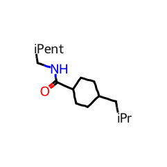 CCCC(C)CNC(=O)C1CCC(CC(C)C)CC1